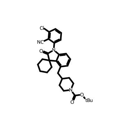 CC(C)(C)OC(=O)N1CCC(Cc2cccc3c2C2(CCCCC2)C(=O)N3c2cccc(Cl)c2C#N)CC1